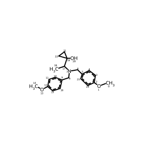 COc1ccc(CN(Cc2ccc(OC)cc2)C(C)C2(O)CC2)cc1